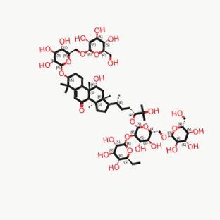 CC[C@@H]1O[C@H](O[C@H]2[C@H](O[C@H](CC[C@@H](C)C3CC[C@@]4(C)C5C(=O)C=C6C(CC[C@H](O[C@@H]7O[C@H](CO[C@@H]8O[C@H](CO)[C@@H](O)[C@H](O)[C@H]8O)[C@@H](O)[C@H](O)[C@H]7O)C6(C)C)[C@]5(C)[C@H](O)C[C@]34C)C(C)(C)O)O[C@H](CO[C@@H]3O[C@H](CO)[C@@H](O)[C@H](O)[C@H]3O)[C@@H](O)[C@@H]2O)[C@@H](O)[C@H](O)[C@H]1O